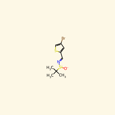 CC(C)(C)[S+]([O-])/N=C/c1cc(Br)cs1